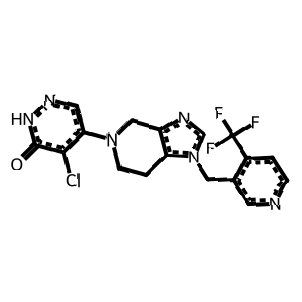 O=c1[nH]ncc(N2CCc3c(ncn3Cc3cnccc3C(F)(F)F)C2)c1Cl